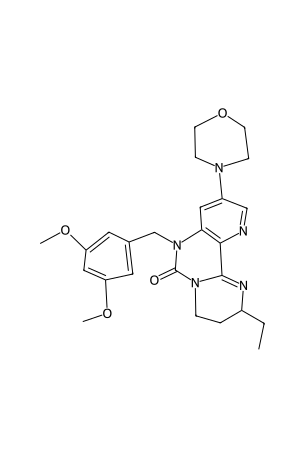 CCC1CCN2C(=O)N(Cc3cc(OC)cc(OC)c3)c3cc(N4CCOCC4)cnc3C2=N1